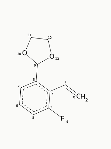 C=Cc1c(F)cccc1C1OCCO1